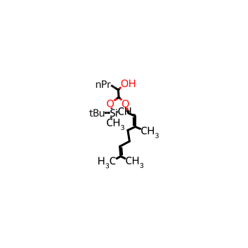 CCCC(O)C(OCC=C(C)CCC=C(C)C)O[Si](C)(C)C(C)(C)C